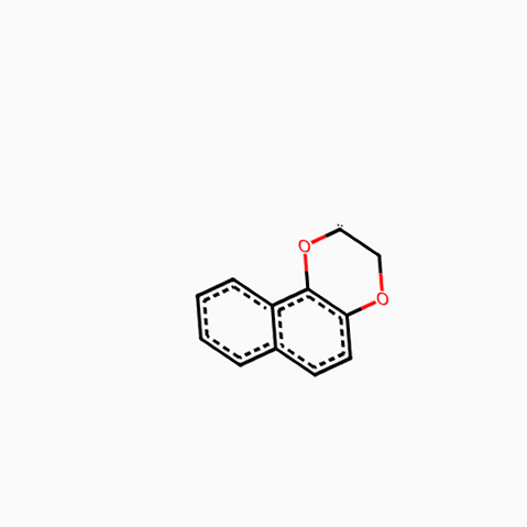 [C]1COc2ccc3ccccc3c2O1